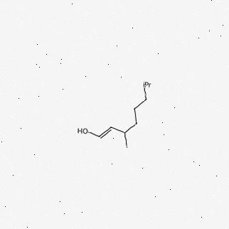 CC(C)CCCC(C)C=CO